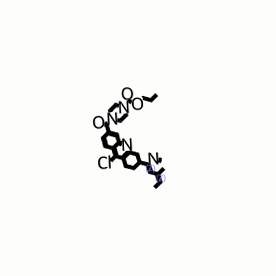 C=N/C(=C\C(C)=C/C)C1CCc2c(nc3cc(C(=O)N4CCN(C(=O)OCCC)CC4)ccc3c2Cl)C1